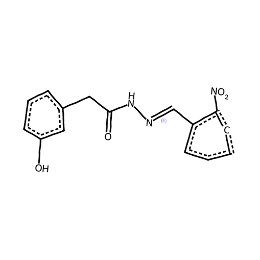 O=C(Cc1cccc(O)c1)N/N=C/c1ccccc1[N+](=O)[O-]